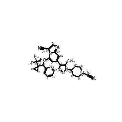 Cc1c(-c2cc(OC(c3ccccn3)C3(C(F)(F)F)CC3)n3c(C#N)cnc3c2)nnn1C1CCN(C#N)CC1